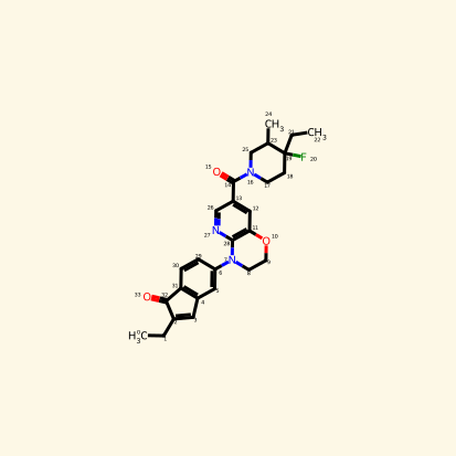 CCC1=Cc2cc(N3CCOc4cc(C(=O)N5CCC(F)(CC)C(C)C5)cnc43)ccc2C1=O